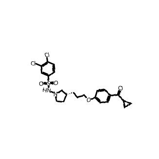 O=C(c1ccc(OCCC[C@@H]2CCN(NS(=O)(=O)c3ccc(Cl)c(Cl)c3)C2)cc1)C1CC1